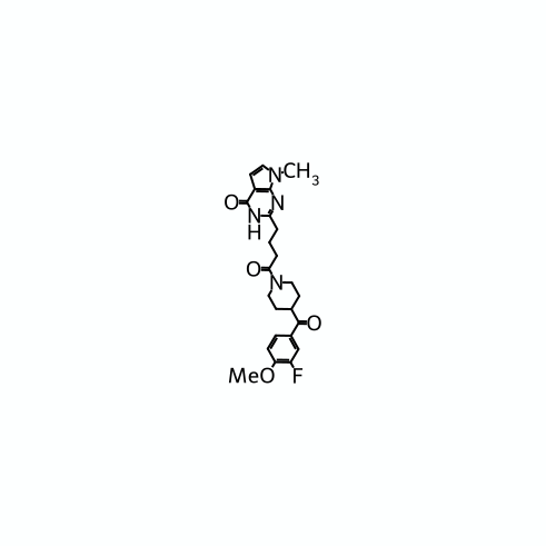 COc1ccc(C(=O)C2CCN(C(=O)CCCc3nc4c(ccn4C)c(=O)[nH]3)CC2)cc1F